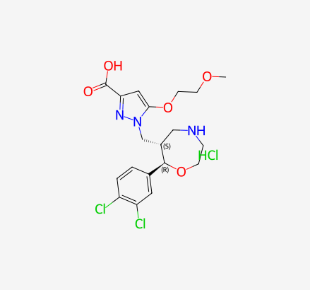 COCCOc1cc(C(=O)O)nn1C[C@@H]1CNCCO[C@H]1c1ccc(Cl)c(Cl)c1.Cl